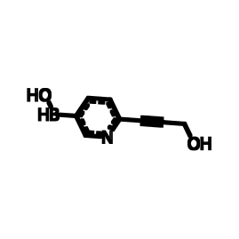 OBc1ccc(C#CCO)nc1